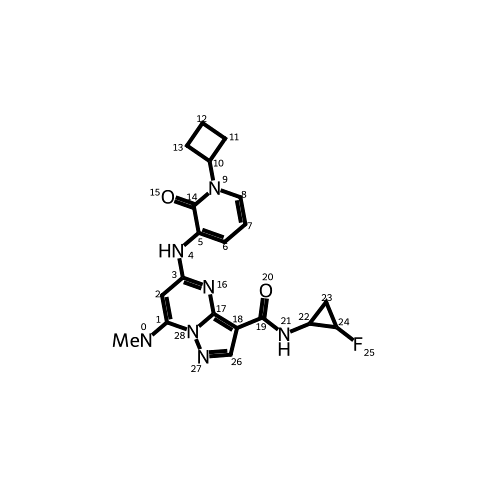 CNc1cc(Nc2cccn(C3CCC3)c2=O)nc2c(C(=O)NC3CC3F)cnn12